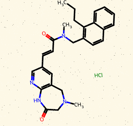 CCCc1c(CN(C)C(=O)C=Cc2cnc3c(c2)CN(C)CC(=O)N3)ccc2ccccc12.Cl